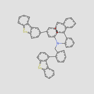 c1cc(-c2ccc3sc4ccccc4c3c2)cc(N(Cc2ccccc2-c2cccc3sc4ccccc4c23)c2ccccc2-c2cccc3ccccc23)c1